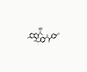 Cc1ccc2nc(N(C)C)nc(N[C@@H](C)c3ccc(NC(=O)c4ccc(Cl)nc4)cc3)c2c1.Cl.Cl